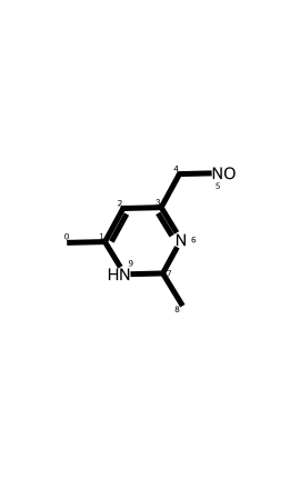 CC1=CC(CN=O)=NC(C)N1